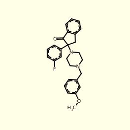 COc1cccc(CN2CCN(C3(c4cccc(F)c4)Cc4ccccc4C3=O)CC2)c1